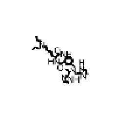 CCCN(CCC)CCCCC1NC(=O)c2cc(CN(Cc3ncc[nH]3)C(C)c3ncc[nH]3)ccc2NC1=O